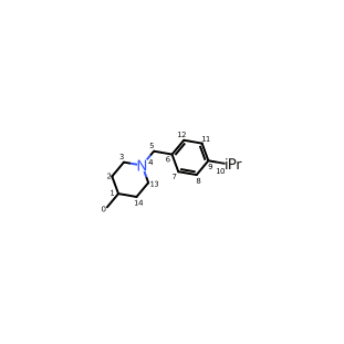 CC1CCN(Cc2ccc(C(C)C)cc2)CC1